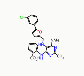 CNc1nc(C)nc(Nc2ccccc2C(=O)O)c1NCc1ccc(-c2cccc(Cl)c2)o1